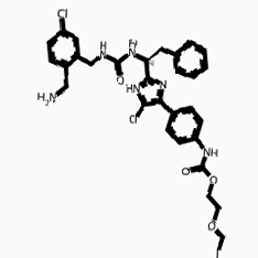 NCc1ccc(Cl)cc1CNC(=O)N[C@@H](Cc1ccccc1)c1nc(-c2ccc(NC(=O)OCCOCI)cc2)c(Cl)[nH]1